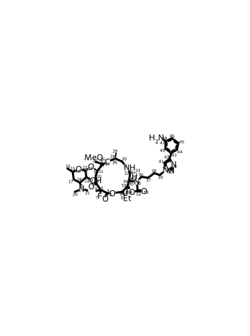 CC[C@H]1OC(=O)C(C)(F)C(=O)C[C@@H](O[C@@H]2OC(C)CC(N(C)C)C2O)[C@](C)(OC)C[C@@H](C)CN[C@H](C)[C@H]2N(CCCCn3cc(-c4cccc(N)c4)nn3)C(=O)O[C@]12C